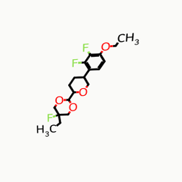 CCOc1ccc(C2CCC(C3OCC(F)(CC)CO3)OC2)c(F)c1F